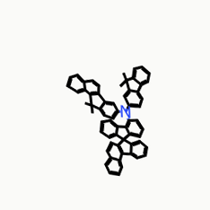 CC1(C)c2ccccc2-c2ccc(N(c3ccc4c(c3)-c3ccc5ccccc5c3C4(C)C)c3cccc4c3-c3ccccc3C43c4ccccc4-c4c3ccc3ccccc43)cc21